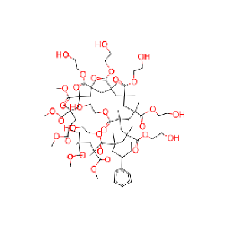 CCC(CC(C)(CC(C)(CC(C)(CC(C)(CC(C)(CC(C)(CC(C)(CC(C)(CC(C)(CC(C)(CC(C)(CC(C)(C)C(=O)OC)C(=O)OC)C(=O)OC)C(=O)OC)C(=O)OC)C(=O)OCCO)C(=O)OCCO)C(=O)OCCO)C(=O)OCCO)C(=O)OCCO)C(=O)OCCO)C(=O)OCCO)c1ccccc1